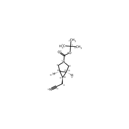 CC(C)(C)OC(=O)N1C[C@@H]2[C@H](CC#N)[C@@H]2C1